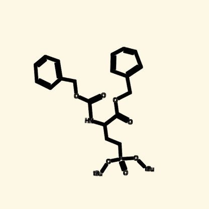 CC(C)(C)OP(=O)(CCC(NC(=O)OCc1ccccc1)C(=O)OCc1ccccc1)OC(C)(C)C